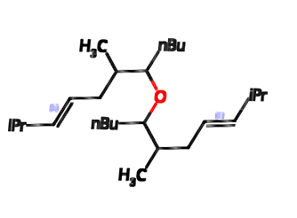 CCCCC(OC(CCCC)C(C)C/C=C/C(C)C)C(C)C/C=C/C(C)C